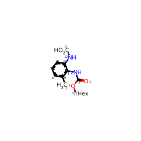 CCCCCCOC(=O)Nc1c(C)cccc1NC(=O)O